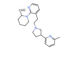 Cc1cccc(C2CCN(CCc3cccnc3N3CCCCC3C=O)C2)n1